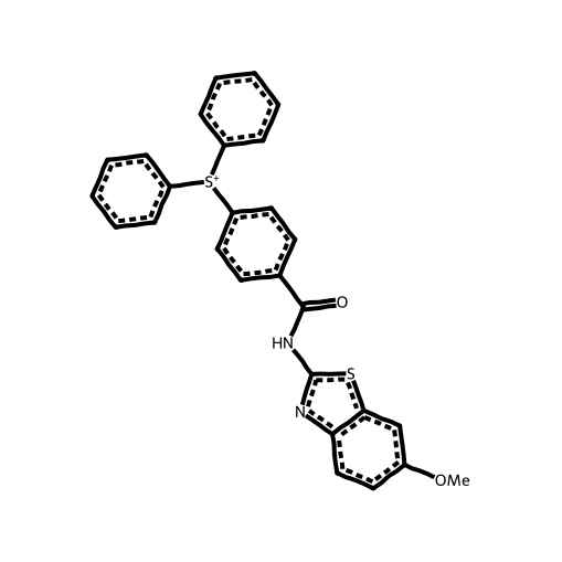 COc1ccc2nc(NC(=O)c3ccc([S+](c4ccccc4)c4ccccc4)cc3)sc2c1